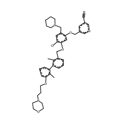 Cc1c(COc2cc(OCc3cncc(C#N)c3)c(CN3CCCCC3)cc2Cl)cccc1-c1cccc(OCCCN2CCOCC2)c1C